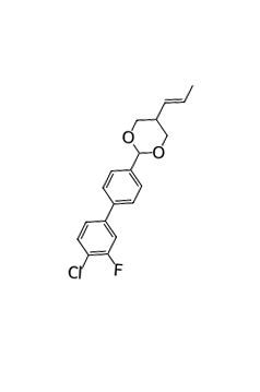 C/C=C/C1COC(c2ccc(-c3ccc(Cl)c(F)c3)cc2)OC1